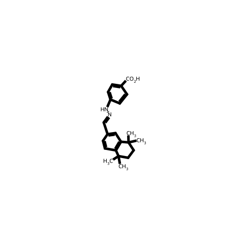 CC1(C)CCC(C)(C)c2cc(C=NNc3ccc(C(=O)O)cc3)ccc21